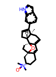 C[C@]12CC=C3C=C4CC[C@H]([N+](C)(C)[O-])C[C@]45CC[C@]3(O5)[C@@H]1CC=C2c1ccc2cc[nH]c2c1